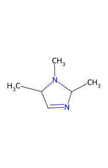 CC1C=NC(C)N1C